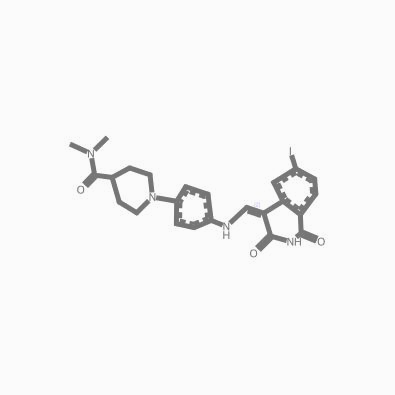 CN(C)C(=O)C1CCN(c2ccc(N/C=C3\C(=O)NC(=O)c4ccc(I)cc43)cc2)CC1